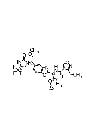 CCc1nocc1C(=O)N[C@H](c1nc2cc([C@@H](COC)N3C[C@@H](C(F)(F)F)NC3=O)ccc2o1)[C@@H](C)OC1CC1